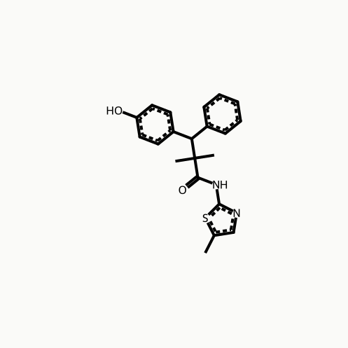 Cc1cnc(NC(=O)C(C)(C)C(c2ccccc2)c2ccc(O)cc2)s1